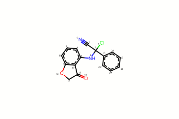 N#CC(Cl)(Nc1cccc2c1C(=O)CO2)c1ccccc1